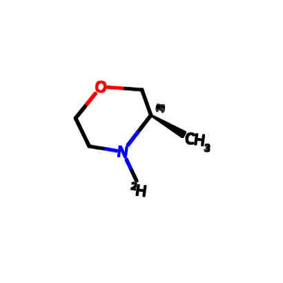 [2H]N1CCOC[C@H]1C